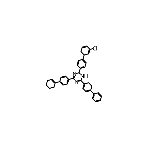 ClC1=CC(c2ccc(C3N=C(c4ccc(C5=CCCCC5)cc4)N=C(C4=CC=C(c5ccccc5)CC4)N3)cc2)CC=C1